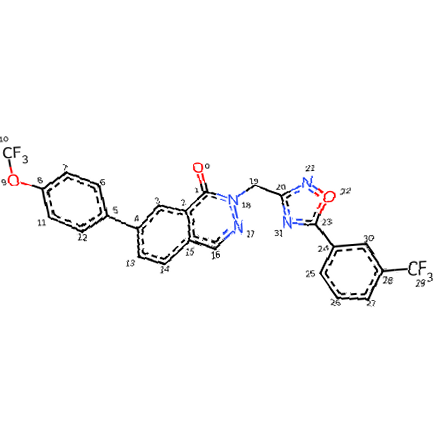 O=c1c2cc(-c3ccc(OC(F)(F)F)cc3)ccc2cnn1Cc1noc(-c2cccc(C(F)(F)F)c2)n1